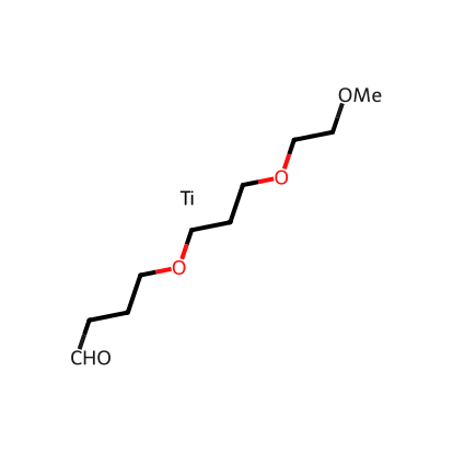 COCCOCCCOCCCC=O.[Ti]